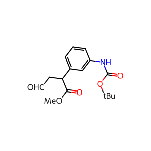 COC(=O)C(CC=O)c1cccc(NC(=O)OC(C)(C)C)c1